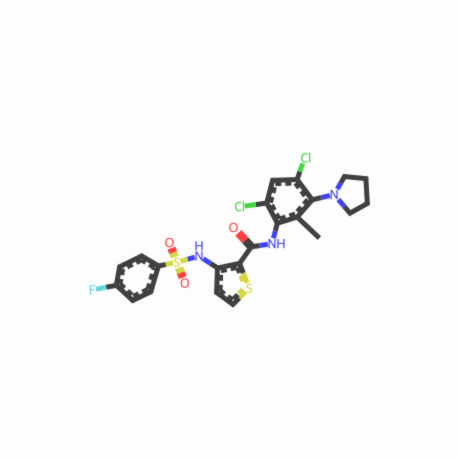 Cc1c(NC(=O)c2sccc2NS(=O)(=O)c2ccc(F)cc2)c(Cl)cc(Cl)c1N1CCCC1